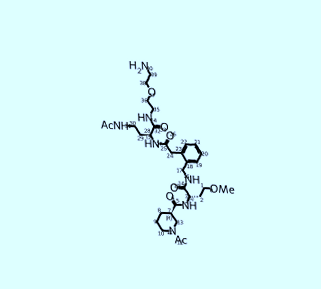 COCC[C@H](NC(=O)[C@@H]1CCCN(C(C)=O)C1)C(=O)NCc1ccccc1CC(=O)N[C@@H](CCNC(C)=O)C(=O)NCCOCCN